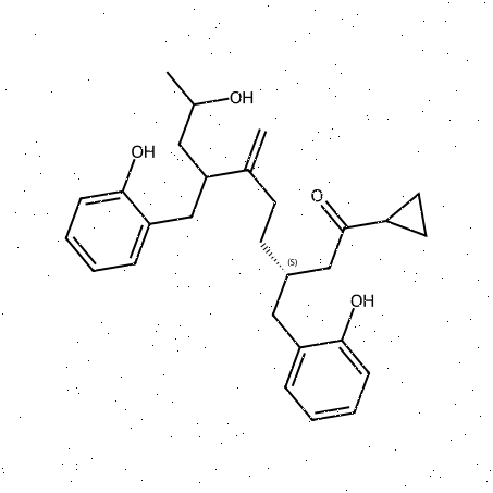 C=C(CC[C@H](CC(=O)C1CC1)Cc1ccccc1O)C(Cc1ccccc1O)CC(C)O